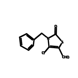 O=Cc1sc(=O)n(Cc2ccccc2)c1Cl